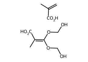 C=C(C)C(=O)O.CC(C(=O)O)=C(OCO)OCO